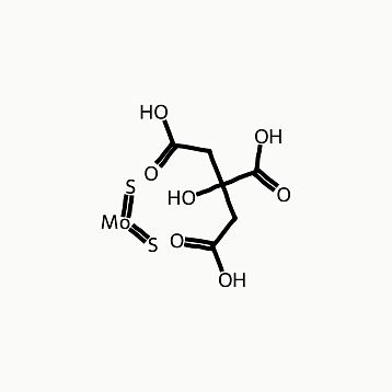 O=C(O)CC(O)(CC(=O)O)C(=O)O.[S]=[Mo]=[S]